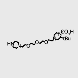 CC(C)(C)C1CN(CCOCCOCCOCCN2CCNCC2)CCN1C(=O)O